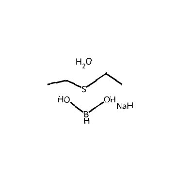 CCSCC.O.OBO.[NaH]